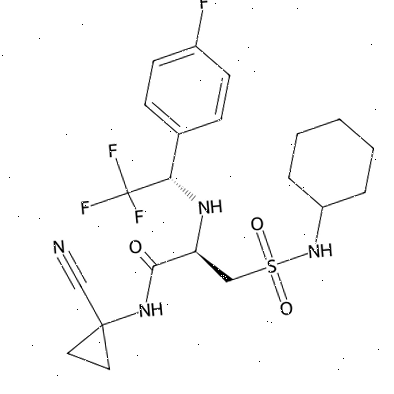 N#CC1(NC(=O)[C@H](CS(=O)(=O)NC2CCCCC2)N[C@@H](c2ccc(F)cc2)C(F)(F)F)CC1